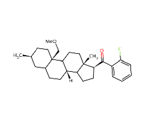 COC[C@]12CC[C@H](C)CC1CC[C@@H]1C2CC[C@@]2(C)C1CC[C@@H]2C(=O)c1ccccc1F